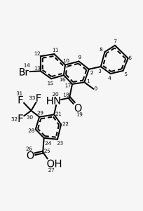 Cc1c(-c2ccccc2)cc2ccc(Br)cc2c1C(=O)Nc1ccc(C(=O)O)cc1C(F)(F)F